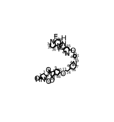 O=C1CCC(N2C(=O)c3ccc(OCCC4CCN(C[C@H]5C[C@H](Oc6cc(Nc7cc(F)c8ncccc8n7)c(F)cn6)C5)CC4)cc3C2=O)C(=O)N1